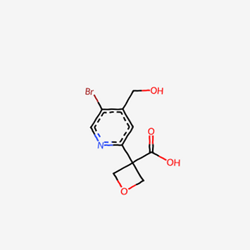 O=C(O)C1(c2cc(CO)c(Br)cn2)COC1